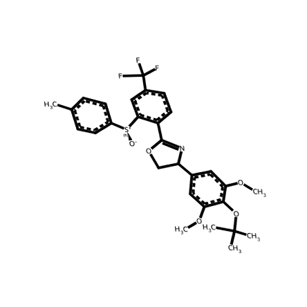 COc1cc(C2COC(c3ccc(C(F)(F)F)cc3[S@@+]([O-])c3ccc(C)cc3)=N2)cc(OC)c1OC(C)(C)C